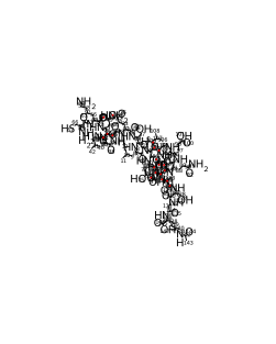 CC[C@H](C)[C@H](NC(=O)[C@H](CC(C)C)NC(=O)[C@H](CO)NC(=O)[C@H](CCC(=O)O)NC(=O)[C@H](CC(N)=O)NC(=O)[C@H](CC(C)C)NC(=O)[C@H](CC(N)=O)NC(=O)[C@H](CCCCN)NC(=O)[C@@H](N)CS)C(=O)N[C@@H](CC(=O)O)C(=O)N[C@@H](CC(C)C)C(=O)N[C@@H](CCC(N)=O)C(=O)N[C@@H](CCC(=O)O)C(=O)N[C@@H](CC(C)C)C(=O)NCC(=O)N[C@@H](CO)C(=O)NCC(=O)N[C@@H](CO)C(=O)NCC(=O)N[C@@H](CSCNC(C)=O)C(=O)O